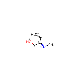 C=C/C(CO)=N\C